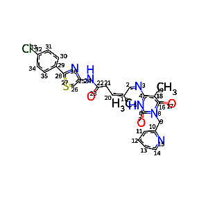 CC(/C=N\c1[nH]c(=O)n(Cc2ccccn2)c(=O)c1C)=C/CC(=O)Nc1csc(-c2ccc(Cl)cc2)n1